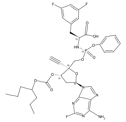 C#C[C@]1(CO[P@@](=O)(N[C@@H](Cc2cc(F)cc(F)c2)C(=O)O)Oc2ccccc2)O[C@@H](n2cnc3c(N)nc(F)nc32)C[C@@H]1OC(=O)OC(CCC)CCC